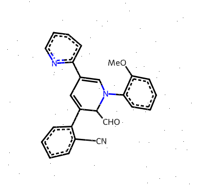 COc1ccccc1N1C=C(c2ccccn2)C=C(c2ccccc2C#N)C1C=O